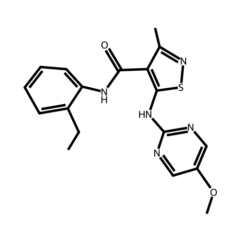 CCc1ccccc1NC(=O)c1c(C)nsc1Nc1ncc(OC)cn1